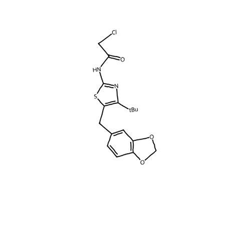 CC(C)(C)c1nc(NC(=O)CCl)sc1Cc1ccc2c(c1)OCO2